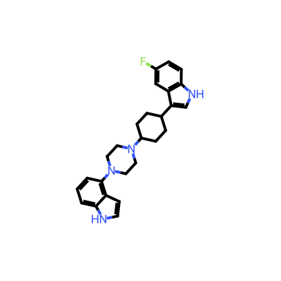 Fc1ccc2[nH]cc(C3CCC(N4CCN(c5cccc6[nH]ccc56)CC4)CC3)c2c1